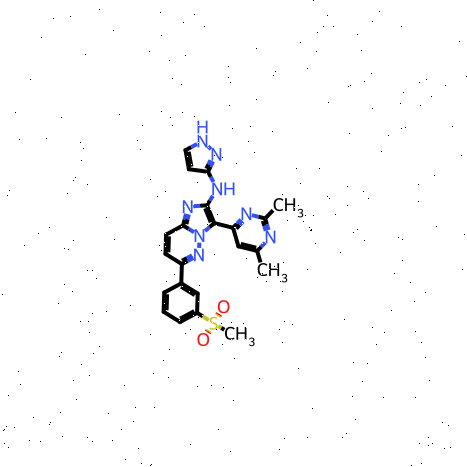 Cc1cc(-c2c(Nc3cc[nH]n3)nc3ccc(-c4cccc(S(C)(=O)=O)c4)nn23)nc(C)n1